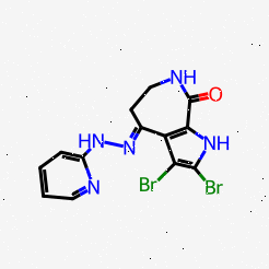 O=C1NCCC(=NNc2ccccn2)c2c1[nH]c(Br)c2Br